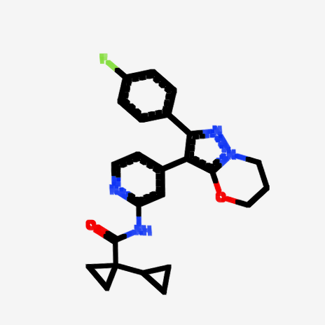 O=C(Nc1cc(-c2c(-c3ccc(F)cc3)nn3c2OCCC3)ccn1)C1(C2CC2)CC1